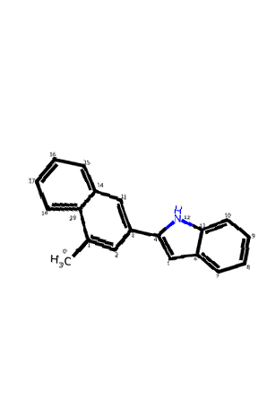 Cc1cc(-c2cc3ccccc3[nH]2)cc2ccccc12